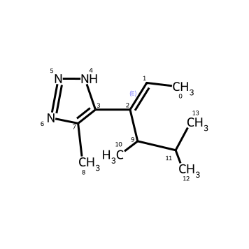 C/C=C(/c1[nH]nnc1C)C(C)C(C)C